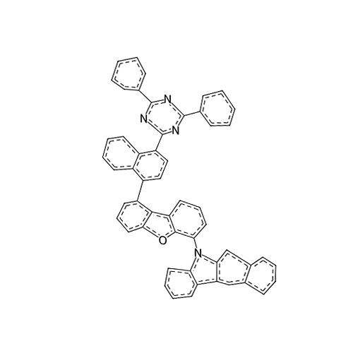 c1ccc(-c2nc(-c3ccccc3)nc(-c3ccc(-c4cccc5oc6c(-n7c8ccccc8c8cc9ccccc9cc87)cccc6c45)c4ccccc34)n2)cc1